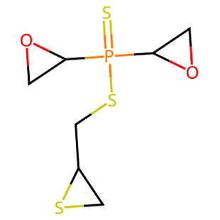 S=P(SCC1CS1)(C1CO1)C1CO1